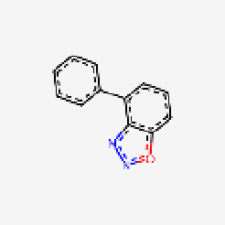 c1ccc(-c2cccc3onnc23)cc1